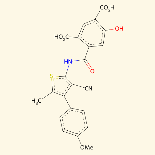 COc1ccc(-c2c(C)sc(NC(=O)c3cc(O)c(C(=O)O)cc3C(=O)O)c2C#N)cc1